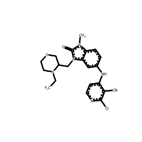 Cn1c(=O)n(CC2COCCN2CC(F)(F)F)c2cc(Nc3ccnc(Cl)c3C#N)ccc21